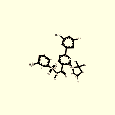 CC(C)COc1cc(F)cc(-c2ccc(C(=O)N(C)S(=O)(=O)c3cccc(N)n3)c(N3C[C@@H](C)CC3(C)C)n2)c1